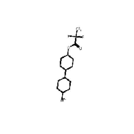 CCCC1CCC(C2CCC(OC(=O)C(F)(F)C(F)(F)F)CC2)CC1